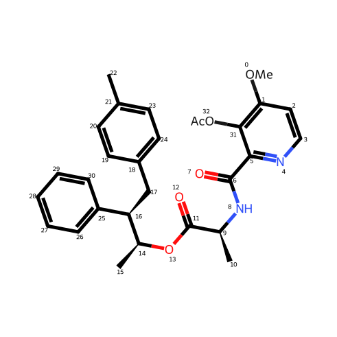 COc1ccnc(C(=O)N[C@@H](C)C(=O)O[C@@H](C)[C@H](Cc2ccc(C)cc2)c2ccccc2)c1OC(C)=O